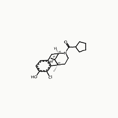 C[C@H]1[C@H]2Cc3ccc(O)c(Cl)c3[C@]1(C)CCN2C(=O)C1CCCC1